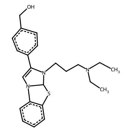 CCN(CC)CCCN1C(c2ccc(CO)cc2)=CN2c3ccccc3SC12